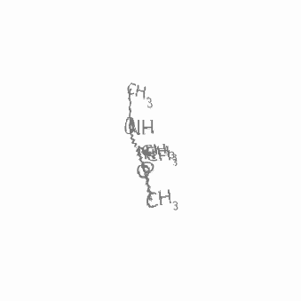 CCCCCC/C=C/COC(=N)CCCCCCC[C@@H](CCCCCCCC(=O)OC/C=C/CCCCCC)CN(C)CCN(C)C